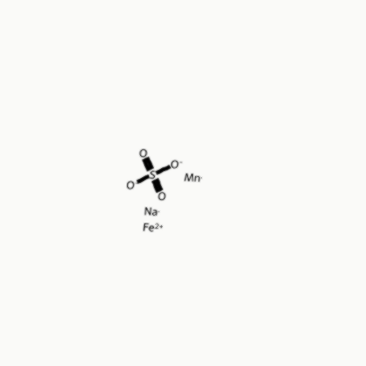 O=S(=O)([O-])[O-].[Fe+2].[Mn].[Na]